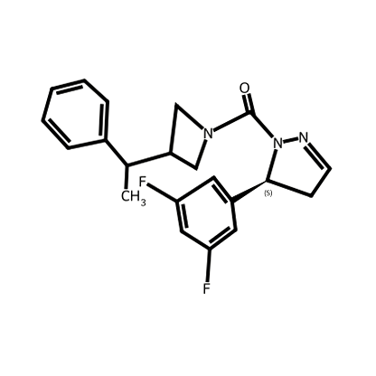 CC(c1ccccc1)C1CN(C(=O)N2N=CC[C@H]2c2cc(F)cc(F)c2)C1